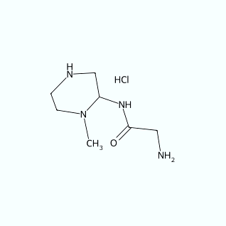 CN1CCNCC1NC(=O)CN.Cl